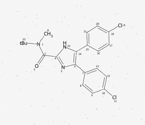 CN(C(=O)c1nc(-c2ccc(Cl)cc2)c(-c2ccc(Cl)cc2)[nH]1)C(C)(C)C